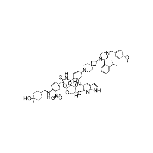 COc1ccc(CN2CCN(C3CC4(CCN(c5ccc(C(=O)NS(=O)(=O)c6ccc(NCC7CCC(C)(O)CC7)c([N+](=O)[O-])c6)c(N6c7cc8cc[nH]c8nc7O[C@H]7COCC[C@@H]76)c5)CC4)C3)[C@H](c3ccccc3C(C)C)C2)cc1